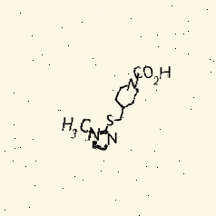 Cn1ccnc1SCC1CCN(C(=O)O)CC1